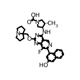 C[C@H]1CN(C(=O)O)C[C@@H]1Nc1nc(OCC23CCCN2CCC3)nc2c(F)c(-c3cc(O)cc4ccccc34)ncc12